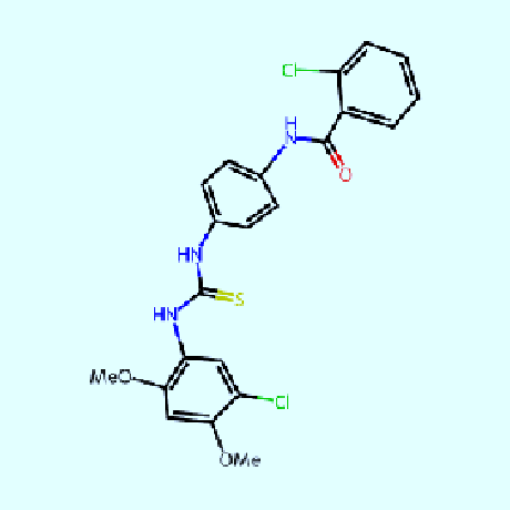 COc1cc(OC)c(NC(=S)Nc2ccc(NC(=O)c3ccccc3Cl)cc2)cc1Cl